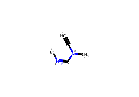 C#CN(C)/C=N\CC